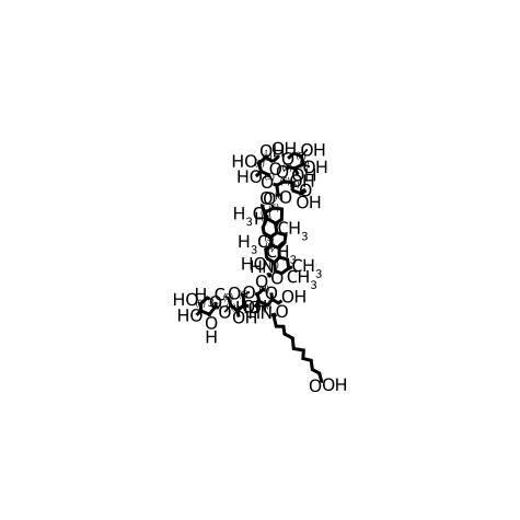 C[C@H]1O[C@@H](OC2C(O)[C@@H](NC(=O)CCCCCCCCCCC(=O)O)C(CO)O[C@@H]2OC(=O)N[C@]23CCC(C)(C)CC2C2=CCC4C5(C)CC[C@H](O[C@@H]6OC(C(=O)O)[C@@H](O)[C@H](O[C@@H]7OC[C@@H](O)[C@@H](O)C7O)C6O[C@@H]6OC(CO)[C@@H](O)[C@H](O)C6O)[C@](C)(C=O)[C@@H]5CC[C@]4(C)[C@]2(C)CC3O)C(O)C(O)[C@H]1O[C@@H]1OC[C@@H](O)C(O)C1O